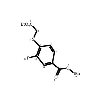 CCOC(=O)CSc1ccc(C(=O)OC(C)(C)C)cc1F